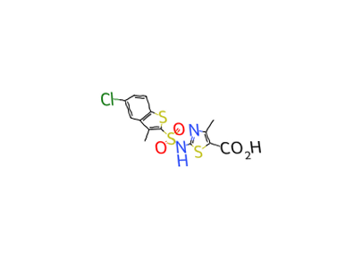 Cc1nc(NS(=O)(=O)c2sc3ccc(Cl)cc3c2C)sc1C(=O)O